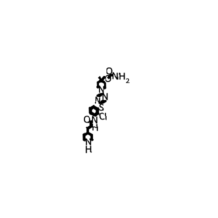 CC1(COC(N)=O)CCN(c2cnc(Sc3cccc(NC(=O)CCC4CCNCC4)c3Cl)cn2)CC1